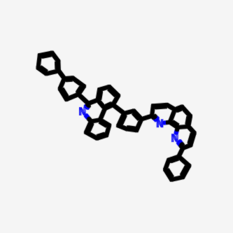 c1ccc(-c2ccc(-c3nc4ccccc4c4c(-c5cccc(-c6ccc7ccc8ccc(-c9ccccc9)nc8c7n6)c5)cccc34)cc2)cc1